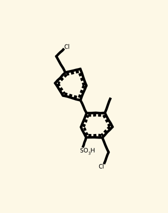 Cc1cc(CCl)c(S(=O)(=O)O)cc1-c1ccc(CCl)cc1